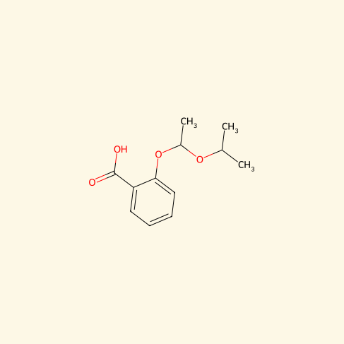 CC(C)OC(C)Oc1ccccc1C(=O)O